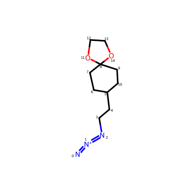 [N-]=[N+]=NCCC1CCC2(CC1)OCCO2